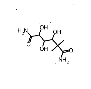 CC(C)(C(N)=O)C(O)C(O)C(O)C(N)=O